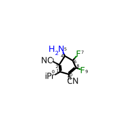 CC(C)C1=C(C#N)C(N)C(F)C(F)=C1C#N